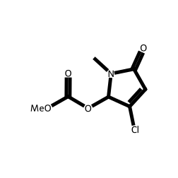 COC(=O)OC1C(Cl)=CC(=O)N1C